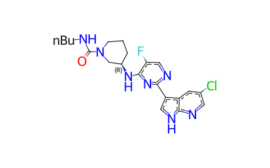 CCCCNC(=O)N1CCC[C@@H](Nc2nc(-c3c[nH]c4ncc(Cl)cc34)ncc2F)C1